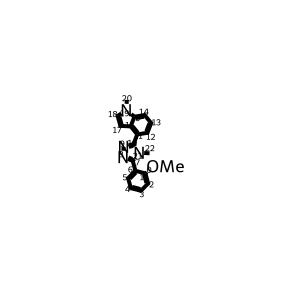 COc1ccccc1-c1nnc(-c2cccc3c2ccn3C)n1C